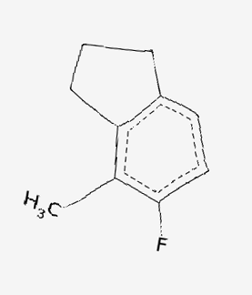 Cc1c(F)ccc2c1CCC2